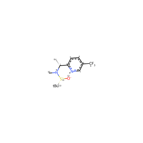 C[C@H](c1ccc(C(F)(F)F)cn1)N(C)[S@+]([O-])C(C)(C)C